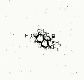 Cc1cc2c(P(C)(C)=O)c(C)ccc2nc1C